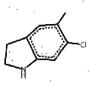 Cc1cc2c(cc1Cl)NCC2